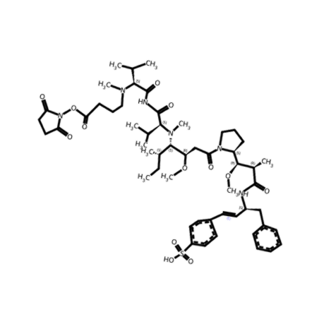 CC[C@H](C)[C@@H]([C@@H](CC(=O)N1CCC[C@H]1[C@H](OC)[C@@H](C)C(=O)N[C@H](/C=C/c1ccc(S(=O)(=O)O)cc1)Cc1ccccc1)OC)N(C)[C@H](C(=O)NC(=O)[C@H](C(C)C)N(C)CCCC(=O)ON1C(=O)CCC1=O)C(C)C